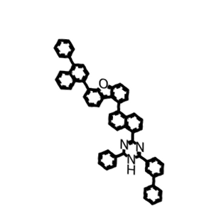 c1ccc(-c2cccc(C3=NC(c4cccc5c(-c6cccc7oc8c(-c9ccc(-c%10ccccc%10)c%10ccccc9%10)cccc8c67)cccc45)=NC(c4ccccc4)N3)c2)cc1